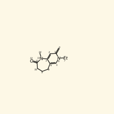 C=C1C=C2C(=CN1CC)CCCC(=O)N2C